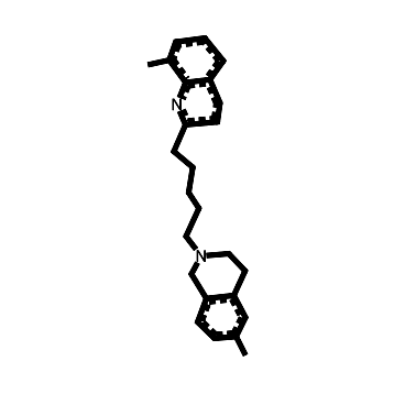 Cc1ccc2c(c1)CCN(CCCCCc1ccc3cccc(C)c3n1)C2